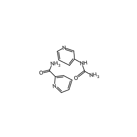 NC(=O)Nc1cccnc1.NC(=O)c1ccccn1